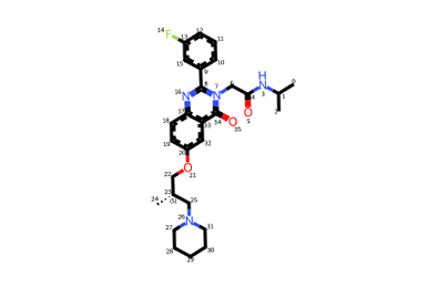 CC(C)NC(=O)Cn1c(-c2cccc(F)c2)nc2ccc(OC[C@@H](C)CN3CCCCC3)cc2c1=O